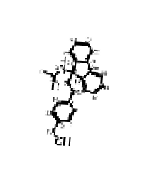 CC(=O)NC1(CCc2ccc(CO)cc2)c2ccccc2-c2ccccc21